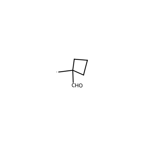 [CH2]C1(C=O)CCC1